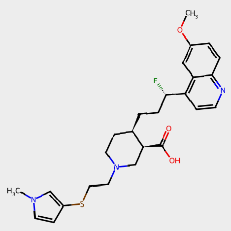 COc1ccc2nccc([C@@H](F)CC[C@@H]3CCN(CCSc4ccn(C)c4)C[C@@H]3C(=O)O)c2c1